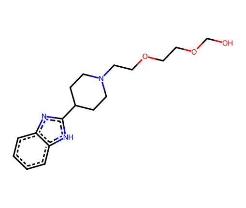 OCOCCOCCN1CCC(c2nc3ccccc3[nH]2)CC1